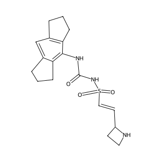 O=C(Nc1c2c(cc3c1CCC3)CCC2)NS(=O)(=O)/C=C/C1CCN1